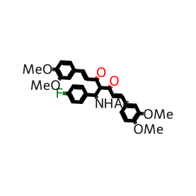 COc1ccc(C=CC(=O)C(C(=O)C=Cc2ccc(OC)c(OC)c2)C(NC(C)=O)c2ccc(F)cc2)cc1OC